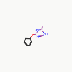 c1ccc(Op2np[nH][pH][nH]2)cc1